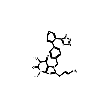 CC=CCc1nc2c(c(=O)n(C)c(=O)n2CCC)n1Cc1ccc(-c2ccccc2-c2nnn[nH]2)cc1